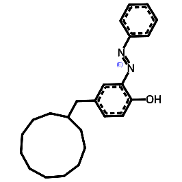 Oc1ccc(CC2CCCCCCCCCC2)cc1/N=N/c1ccccc1